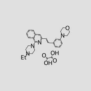 CCN1CCN(c2nc(C=Cc3cccc(N4CCOCC4)c3)cc3ccccc23)CC1.O=C(O)C(=O)O